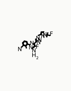 Cc1c(C#N)cccc1-c1nc(N)c(F)c(-c2cn(Cc3ccn(C(C)(C)CF)n3)nn2)n1